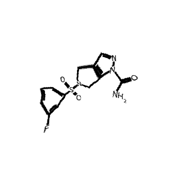 NC(=O)n1n[c]c2c1CN(S(=O)(=O)c1cccc(F)c1)C2